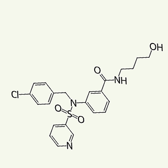 O=C(NCCCCO)c1cccc(N(Cc2ccc(Cl)cc2)S(=O)(=O)c2cccnc2)c1